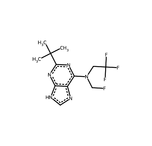 CC(C)(C)c1nc(N(CF)CC(F)(F)F)c2nc[nH]c2n1